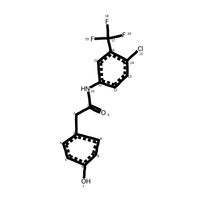 O=C(Cc1ccc(O)cc1)Nc1ccc(Cl)c(C(F)(F)F)c1